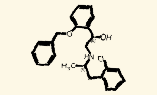 C[C@H](Cc1ccccc1Cl)NC[C@H](O)c1ccccc1OCc1ccccc1